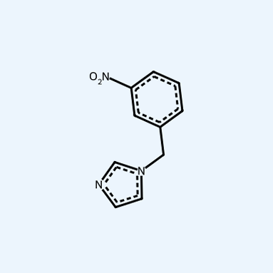 O=[N+]([O-])c1cccc(Cn2ccnc2)c1